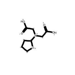 O=C(O)CN(CC(=O)O)C1CCCO1